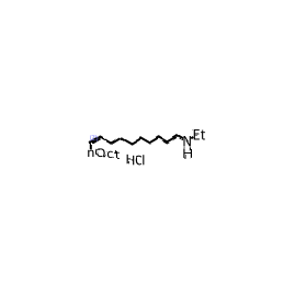 CCCCCCCC/C=C\CCCCCCCCNCC.Cl